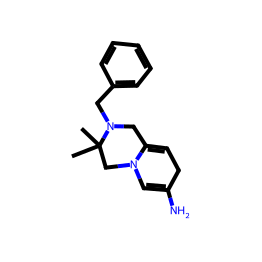 CC1(C)CN2C=C(N)CC=C2CN1Cc1ccccc1